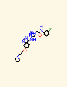 O=C(Cn1cc(Nc2ncnc3cc(OCCCN4CCCC4)ccc23)nn1)Nc1cccc(F)c1